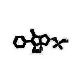 COC1=C(c2ccccc2)C(=O)N2C[C@H](O[Si](C)(C)C(C)(C)C)C[C@@H]12